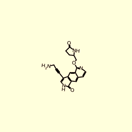 NCC#Cc1c[nH]c(=O)c2cc3ccnc(OCC4CCC(=O)N4)c3cc12